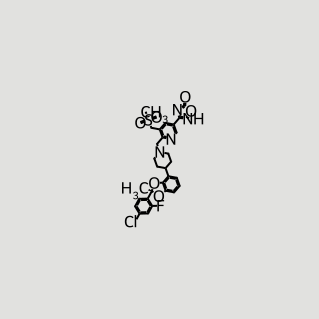 C[C@]1(c2ccc(Cl)cc2F)Oc2cccc(C3CCN(Cc4ncc(-c5nc(=O)o[nH]5)cc4CS(C)(=O)=O)CC3)c2O1